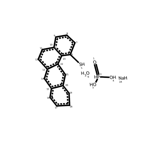 O.O=[PH](O)O.Sc1cccc2ccc3cc4ccccc4cc3c12.[NaH]